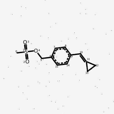 CS(=O)(=O)OCc1ccc(C=C2CC2)cc1